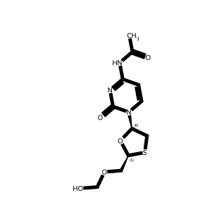 CC(=O)Nc1ccn([C@H]2CS[C@@H](COCO)O2)c(=O)n1